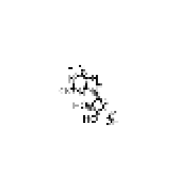 Nc1nc(Cl)nc2c1ncn2[C@H]1O[C@H](CO)[C@@H](O)[C@H]1O